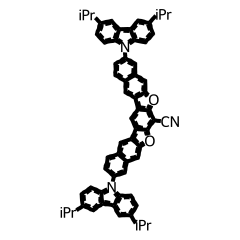 CC(C)c1ccc2c(c1)c1cc(C(C)C)ccc1n2-c1ccc2cc3c(cc2c1)oc1c(C#N)c2oc4cc5cc(-n6c7ccc(C(C)C)cc7c7cc(C(C)C)ccc76)ccc5cc4c2cc13